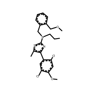 CCCN(Cc1ccccc1COC)c1nc(-c2cc(Cl)c(OC)cc2Cl)c(C)s1